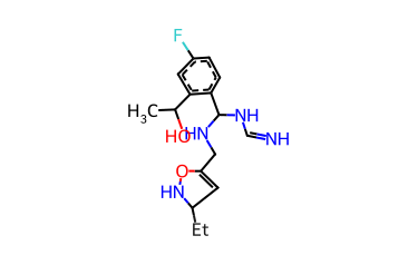 CCC1C=C(CNC(NC=N)c2ccc(F)cc2C(C)O)ON1